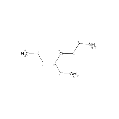 CCCC(CN)OCCN